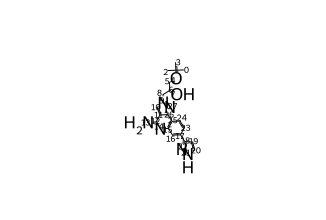 CC(C)(C)OCC(O)Cn1cc2c(N)nc3cc(-c4cc[nH]n4)ccc3c2n1